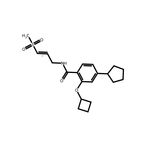 CS(=O)(=O)/C=C/CNC(=O)c1ccc(C2CCCC2)cc1OC1CCC1